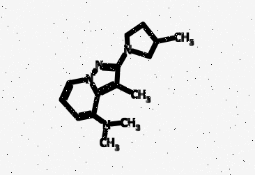 Cc1c(N2CCC(C)C2)nn2cccc(N(C)C)c12